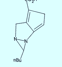 CCCCC1N2CC3=C(C(=O)O)CC=C3N12